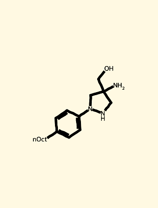 CCCCCCCCc1ccc(N2CC(N)(CO)CN2)cc1